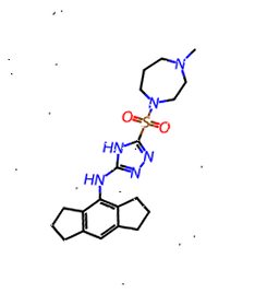 CN1CCCN(S(=O)(=O)c2nnc(Nc3c4c(cc5c3CCC5)CCC4)[nH]2)CC1